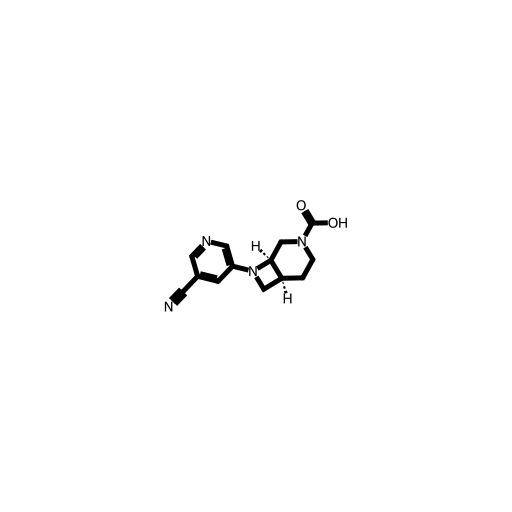 N#Cc1cncc(N2C[C@@H]3CCN(C(=O)O)C[C@@H]32)c1